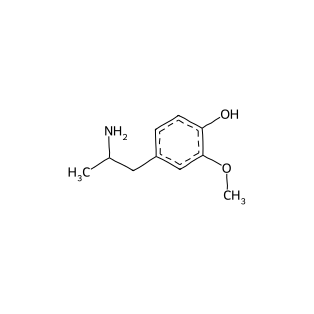 COc1cc(CC(C)N)ccc1O